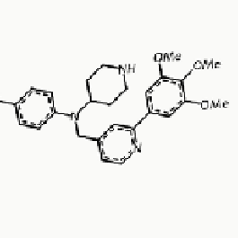 COc1cc(-c2cc(CN(c3ccc(F)cc3)C3CCNCC3)ccn2)cc(OC)c1OC